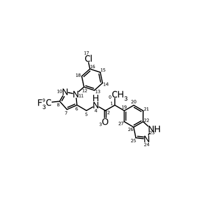 CC(C(=O)NCc1cc(C(F)(F)F)nn1-c1cccc(Cl)c1)c1ccc2[nH]ncc2c1